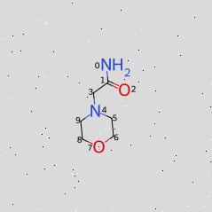 NC(=O)CN1CCOCC1